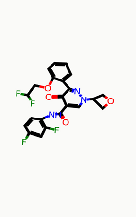 O=C(Nc1ccc(F)cc1F)c1cn(C2COC2)nc(-c2ccccc2OCC(F)F)c1=O